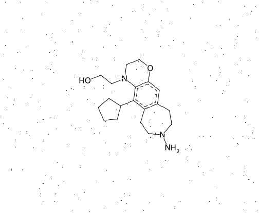 NN1CCc2cc3c(c(C4CCCC4)c2CC1)N(CCO)CCO3